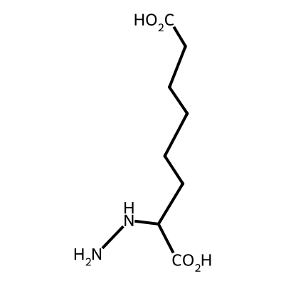 NNC(CCCCCC(=O)O)C(=O)O